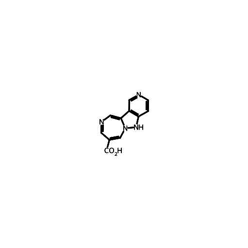 O=C(O)C1=CN2Nc3ccncc3C2=CN=C1